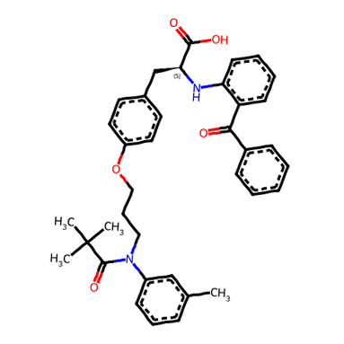 Cc1cccc(N(CCCOc2ccc(C[C@H](Nc3ccccc3C(=O)c3ccccc3)C(=O)O)cc2)C(=O)C(C)(C)C)c1